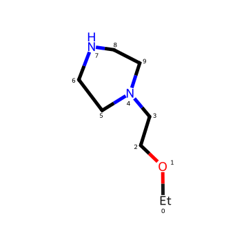 CCOCCN1CCNCC1